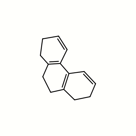 C1=CC2=C(CC1)CCC1=C2C=CCC1